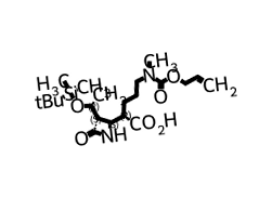 C=CCOC(=O)N(C)CCC[C@@H](C(=O)O)[C@H]1NC(=O)[C@@H]1[C@@H](C)O[Si](C)(C)C(C)(C)C